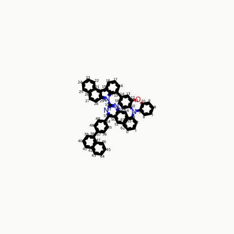 c1ccc(N2c3ccccc3Oc3cc(-c4cccc5c6c7ccccc7ccc6n(-c6nc(-c7ccc(-c8cccc9ccccc89)cc7)c7ccccc7n6)c45)ccc32)cc1